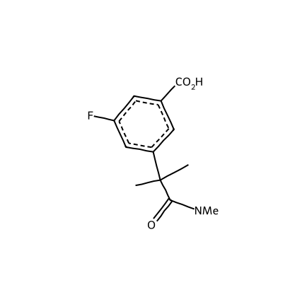 CNC(=O)C(C)(C)c1cc(F)cc(C(=O)O)c1